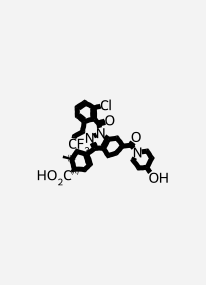 C[C@H]1CC(c2nn(C(=O)c3c(Cl)cccc3CCC(F)(F)F)c3c2CCC(C(=O)N2CCC(O)CC2)C3)=CC[C@H]1C(=O)O